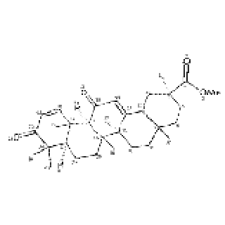 COC(=O)[C@@]1(C)CCC2(C)CC[C@]3(C)C(=CC(=O)[C@@H]4C5(C)C=CC(=O)C(C)(C)[C@@H]5CCC43C)C2C1